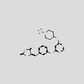 CS(=O)(=O)N1CCC(Oc2cc(Oc3cccc(C=C4SC(=O)NC4=O)c3)ncn2)CC1